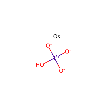 [O-][I+3]([O-])([O-])O.[Os]